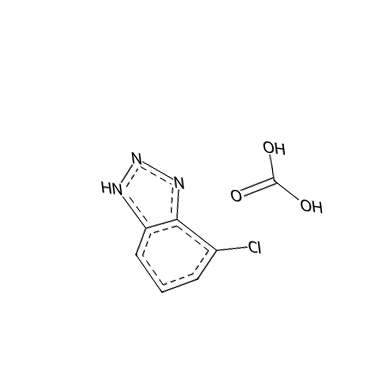 Clc1cccc2[nH]nnc12.O=C(O)O